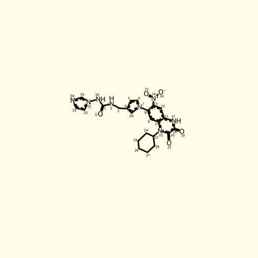 O=C(NCc1ccn(-c2cc3c(cc2[N+](=O)[O-])[nH]c(=O)c(=O)n3C2CCCCC2)c1)Nn1ccnc1